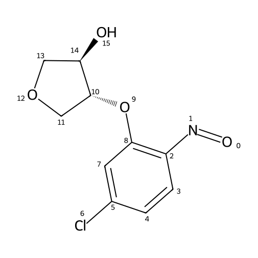 O=Nc1ccc(Cl)cc1O[C@@H]1COC[C@H]1O